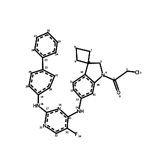 O=C(CCl)N1CC2(CCC2)c2ccc(Nc3nc(Nc4ccc(-c5ccccc5)cc4)ncc3F)cc21